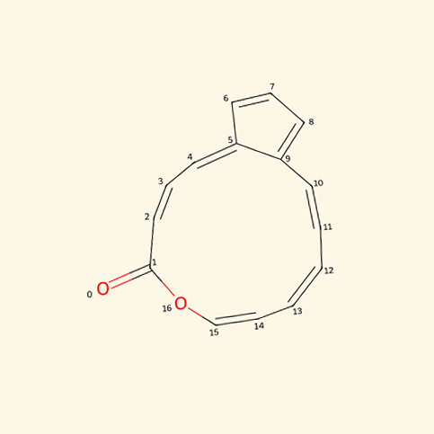 O=C1C=CC=C2C=CC=C2C=CC=CC=CO1